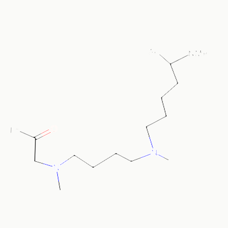 CCC(=O)CN(C)CCCCN(C)CCCCC(NC)C(C)=O